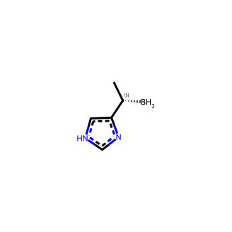 B[C@@H](C)c1c[nH]cn1